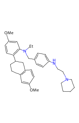 CCN(Cc1ccc(NCCN2CCCCC2)cc1)c1cc(OC)ccc1C1CCc2cc(OC)ccc2C1